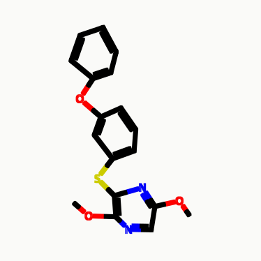 COc1cnc(OC)c(Sc2cccc(Oc3ccccc3)c2)n1